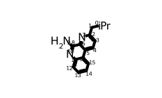 CC(C)Cc1ccc2c(n1)c(N)nc1ccccc12